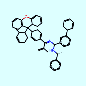 C=C(C)/C(=N\C(N[C@H](C)c1ccccc1)c1cccc(C2C=CC=CC2)c1)C1=CCC(C2(C3CCC=CC3C)C3=C(C=CCC3)OC3=CC=CCC32)C=C1